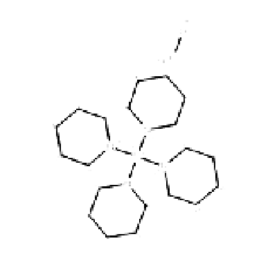 C1CCN([P+](N2CCCCC2)(N2CCCCC2)N2CCCCC2)CC1.C[O-]